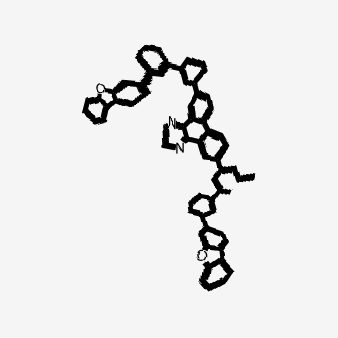 C=C/C=C(\C=C(/C)c1cccc(-c2ccc3c(c2)oc2ccccc23)c1)c1ccc2c3ccc(-c4cccc(-c5cccc(-c6ccc7c(c6)oc6ccccc67)c5)c4)cc3c3nccnc3c2c1